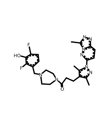 Cc1nn(-c2ccc3nnc(C)n3n2)c(C)c1CCC(=O)N1CCN(Cc2ccc(F)c(O)c2F)CC1